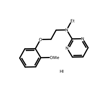 CCN(CCOc1ccccc1OC)c1ncccn1.I